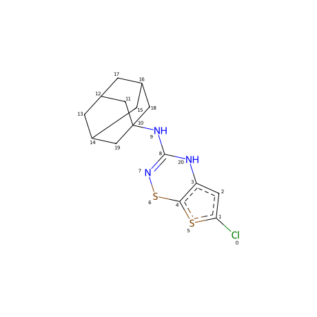 Clc1cc2c(s1)SN=C(NC13CC4CC(CC(C4)C1)C3)N2